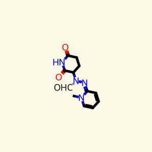 Cn1cccc/c1=N/N(C=O)C1CCC(=O)NC1=O